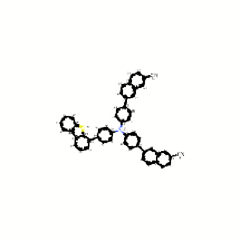 N#Cc1ccc2ccc(-c3ccc(N(c4ccc(-c5ccc6ccc(C#N)cc6c5)cc4)c4ccc(-c5cccc6c5sc5ccccc56)cc4)cc3)cc2c1